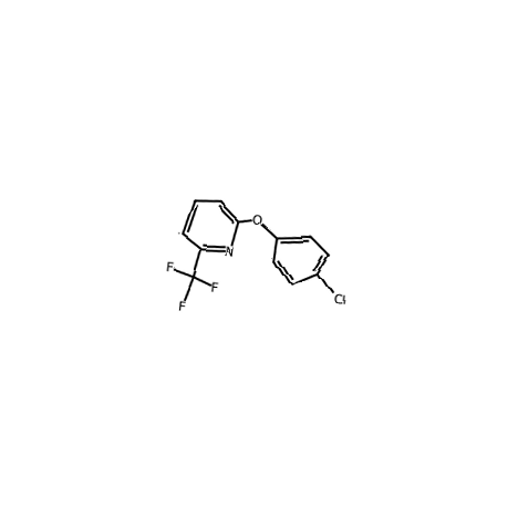 FC(F)(F)c1[c]ccc(Oc2ccc(Cl)cc2)n1